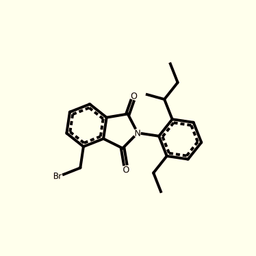 CCc1cccc(C(C)CC)c1N1C(=O)c2cccc(CBr)c2C1=O